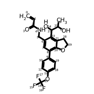 C=CC(=O)NCc1cc(-c2ccc(OC(F)(F)F)cc2)c2c(c1C(O)C(C)O)CCO2